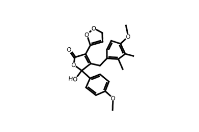 COc1ccc(C2(O)OC(=O)C(C3=CCOO3)=C2Cc2ccc(OC)c(C)c2C)cc1